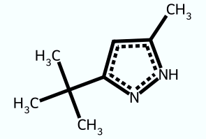 Cc1cc(C(C)(C)C)n[nH]1